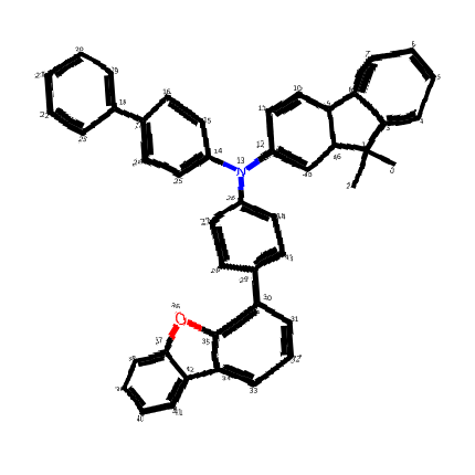 CC1(C)c2ccccc2C2C=CC(N(c3ccc(-c4ccccc4)cc3)c3ccc(-c4cccc5c4oc4ccccc45)cc3)=CC21